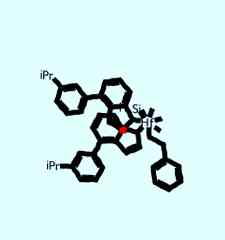 CC(C)c1cccc(-c2cccc3c2C=C[CH]3[Hf]([CH3])([CH3])([CH3])(=[SiH2])([CH2]Cc2ccccc2)[CH]2C=Cc3c(-c4cccc(C(C)C)c4)cccc32)c1